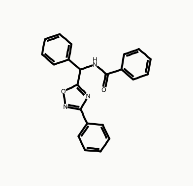 O=C(NC(c1ccccc1)c1nc(-c2ccccc2)no1)c1ccccc1